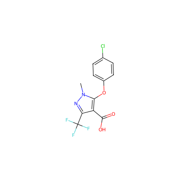 Cn1nc(C(F)(F)F)c(C(=O)O)c1Oc1ccc(Cl)cc1